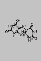 O=C1NC(=O)C(=Nc2c(O)[nH]c(=O)[nH]c2=O)C(=O)N1